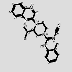 Cc1ccccc1NC(=NC#N)N1CCN(c2cnc3ccccc3n2)C(C(C)C)C1